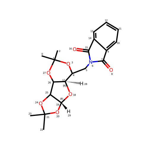 CC1(C)OC(CN2C(=O)c3ccccc3C2=O)[C@H]2O[C@@H]3OC(C)(C)OC3C2O1